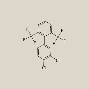 FC(F)(F)c1c[c]cc(C(F)(F)F)c1-c1ccc(Cl)c(Cl)c1